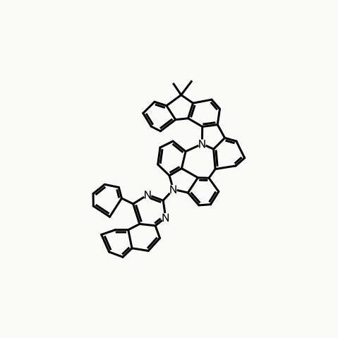 CC1(C)c2ccccc2-c2c1ccc1c3cccc4c5cccc6c5c5c(cccc5n(c21)c43)n6-c1nc(-c2ccccc2)c2c(ccc3ccccc32)n1